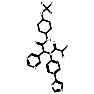 O=C(NC1CCC(OC(F)(F)F)CC1)C(c1cncnc1)N(C(=O)C(F)Cl)c1ccc(-c2cncs2)cc1